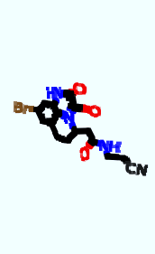 N#CCCNC(=O)CC1CCc2cc(Br)cc3[nH]c(=O)c(=O)n1c23